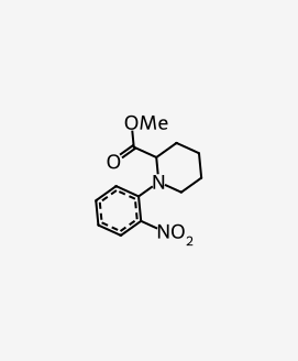 COC(=O)C1CCCCN1c1ccccc1[N+](=O)[O-]